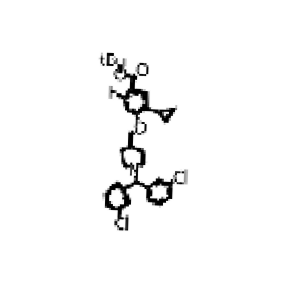 CC(C)(C)OC(=O)c1cc(C2CC2)c(OCC2CCN(C(c3cccc(Cl)c3)c3cccc(Cl)c3)CC2)cc1F